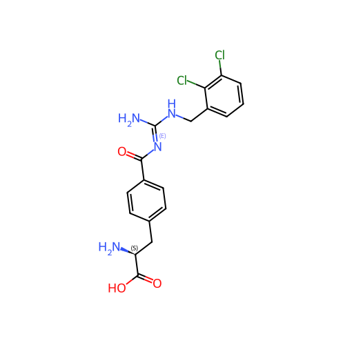 N/C(=N\C(=O)c1ccc(C[C@H](N)C(=O)O)cc1)NCc1cccc(Cl)c1Cl